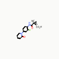 N#C[C@]1(C(=O)Nc2ccc(-n3ccccc3=O)cc2F)C[C@@H]1C(=O)O